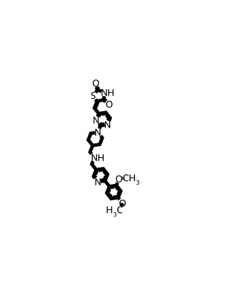 COc1ccc(-c2ccc(CNCC3CCN(c4nccc(C=C5SC(=O)NC5=O)n4)CC3)cn2)c(OC)c1